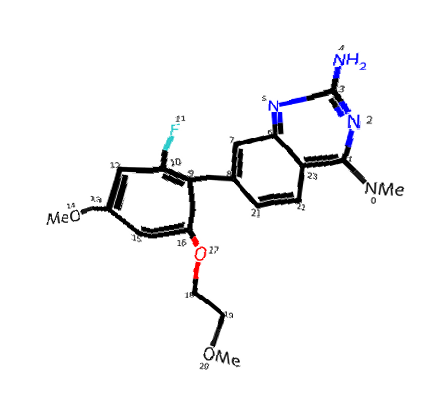 CNc1nc(N)nc2cc(-c3c(F)cc(OC)cc3OCCOC)ccc12